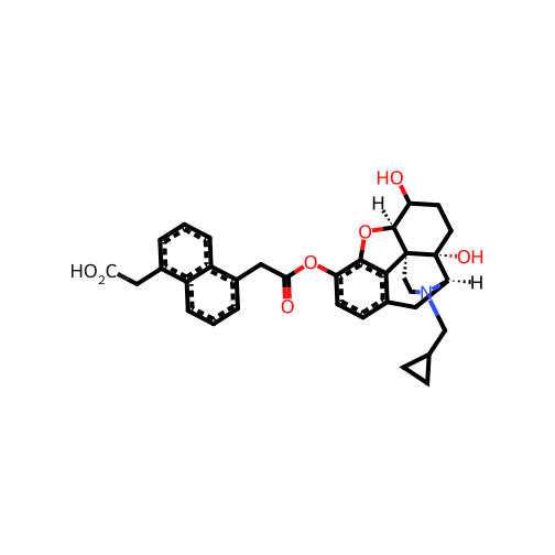 O=C(O)Cc1cccc2c(CC(=O)Oc3ccc4c5c3O[C@H]3C(O)CC[C@@]6(O)[C@@H](C4)N(CC4CC4)CC[C@]536)cccc12